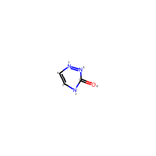 O=C1[N]C=[C]N=N1